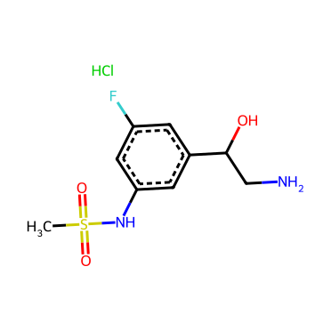 CS(=O)(=O)Nc1cc(F)cc(C(O)CN)c1.Cl